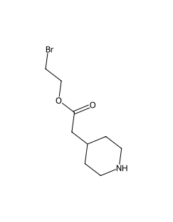 O=C(CC1CCNCC1)OCCBr